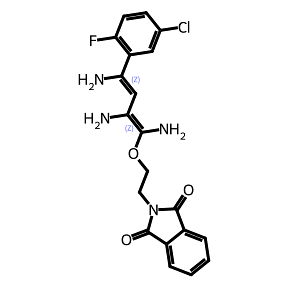 N/C(=C\C(N)=C(/N)OCCN1C(=O)c2ccccc2C1=O)c1cc(Cl)ccc1F